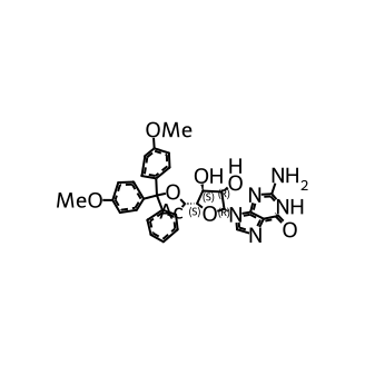 COc1ccc(C(OC(C(C)=O)[C@H]2O[C@@H](n3cnc4c(=O)[nH]c(N)nc43)[C@H](O)[C@@H]2O)(c2ccccc2)c2ccc(OC)cc2)cc1